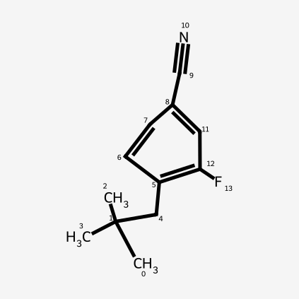 CC(C)(C)Cc1ccc(C#N)cc1F